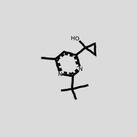 Cc1cc(C2(O)CC2)nc(C(C)(C)C)n1